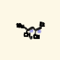 CC/C=C(C#N)\C=C(/C)C(C)(C)C